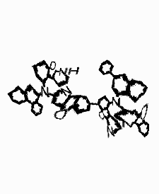 C1=Cc2c(oc3cccc(N(c4cnc5c(c4)oc4ccc(-c6ccc(N(c7cnc8c(c7)oc7ccccc78)c7cc(-c8ccccc8)cc8ccccc78)c7c6oc6ncccc67)cc45)c4cc5ccccc5c5ccccc45)c23)NC1